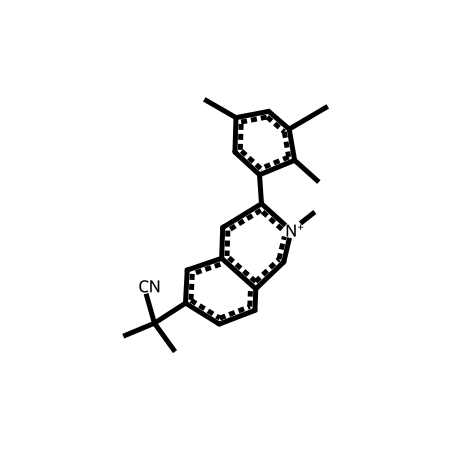 Cc1cc(C)c(C)c(-c2cc3cc(C(C)(C)C#N)ccc3c[n+]2C)c1